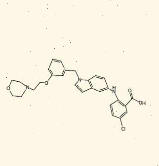 O=C(O)c1cc(Cl)ccc1Nc1ccc2c(ccn2Cc2cccc(OCCN3CCOCC3)c2)c1